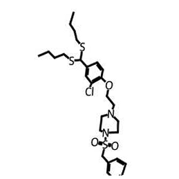 CCCCSC(SCCCC)c1ccc(OCCN2CCN(S(=O)(=O)Cc3ccccc3)CC2)c(Cl)c1